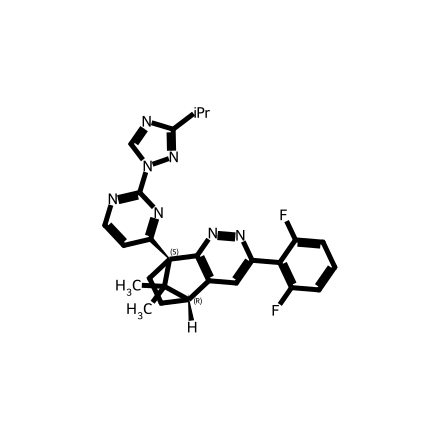 CC(C)c1ncn(-c2nccc([C@@]34CC[C@@H](c5cc(-c6c(F)cccc6F)nnc53)C4(C)C)n2)n1